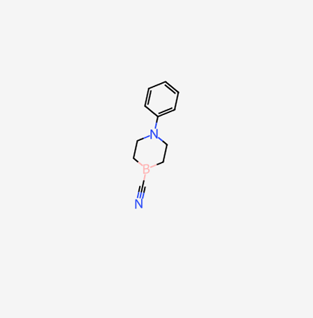 N#CB1CCN(c2ccccc2)CC1